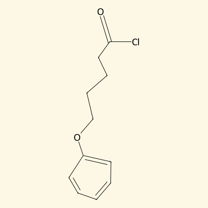 O=C(Cl)CCCCOc1ccccc1